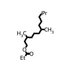 CCC(=O)OCCC(C)CCCC(C)CCCC(C)C